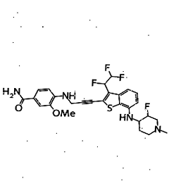 COc1cc(C(N)=O)ccc1NCC#Cc1sc2c(NC3CCN(C)CC3F)cccc2c1C(F)C(F)F